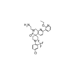 CCOc1ncccc1-c1ccc2c(n1)CN(CCN)C(=O)C21CCN(c2ccc(Cl)cc2C(F)(F)F)CC1